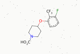 O=C(O)N1CCC(Oc2cccc(F)c2C(F)(F)F)CC1